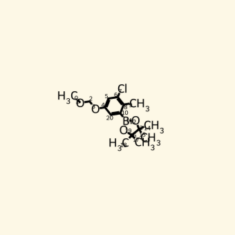 COCOc1cc(Cl)c(C)c(B2OC(C)(C)C(C)(C)O2)c1